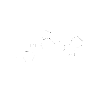 Cc1cc(NC(=O)c2scc(C)c2NCc2ccnc3ccccc23)ccc1Br